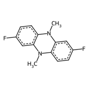 CN1c2ccc(F)cc2N(C)c2ccc(F)cc21